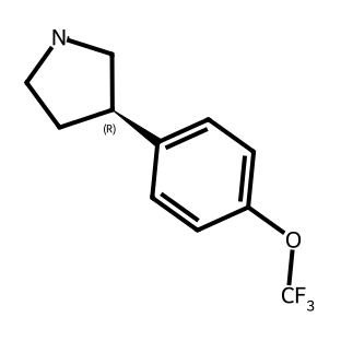 FC(F)(F)Oc1ccc([C@H]2CC[N]C2)cc1